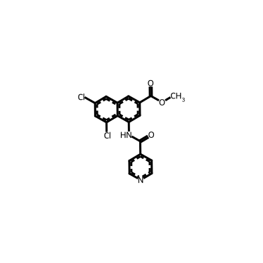 COC(=O)c1cc(NC(=O)c2ccncc2)c2c(Cl)cc(Cl)cc2c1